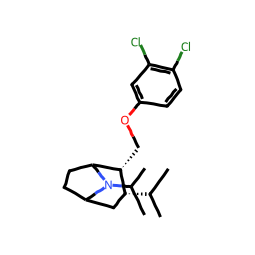 CC(C)[C@@H]1CC2CCC([C@@H]1COc1ccc(Cl)c(Cl)c1)N2C(C)C